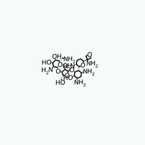 NC[C@@H]1O[C@H](O[C@H]2[C@@H](O)[C@H](O[C@@H]3[C@@H](O)[C@H](N)C[C@H](N)[C@H]3C3O[C@H](C4(N)COC4)CC[C@H]3N)O[C@@H]2CO)[C@H](N)[C@@H](O)[C@@H]1O